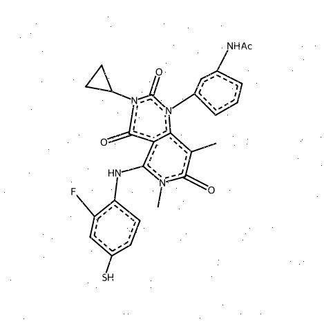 CC(=O)Nc1cccc(-n2c(=O)n(C3CC3)c(=O)c3c(Nc4ccc(S)cc4F)n(C)c(=O)c(C)c32)c1